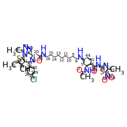 CC(=O)Nc1cc(NCCCCCCCCCNC(=O)C[C@@H]2N=C(c3ccc(Cl)cc3)c3c(sc(C)c3C)-n3c(C)nnc32)ccc1C(=O)Nc1nc(C)c([N+](=O)[O-])s1